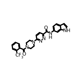 O=C(Nc1ccc2cc[nH]c2c1)c1ccc(N2CCN(C(=O)c3ccccc3C(F)(F)F)CC2)nn1